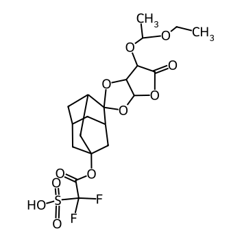 CCOC(C)OC1C(=O)OC2OC3(OC21)C1CC2CC3CC(OC(=O)C(F)(F)S(=O)(=O)O)(C2)C1